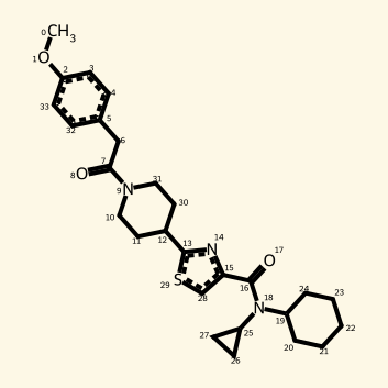 COc1ccc(CC(=O)N2CCC(c3nc(C(=O)N(C4CCCCC4)C4CC4)cs3)CC2)cc1